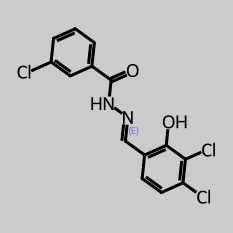 O=C(N/N=C/c1ccc(Cl)c(Cl)c1O)c1cccc(Cl)c1